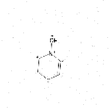 ON1C=CCCC1